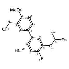 COc1ncc(-c2ccc(F)c(OC(F)F)c2)cc1CCl.Cl